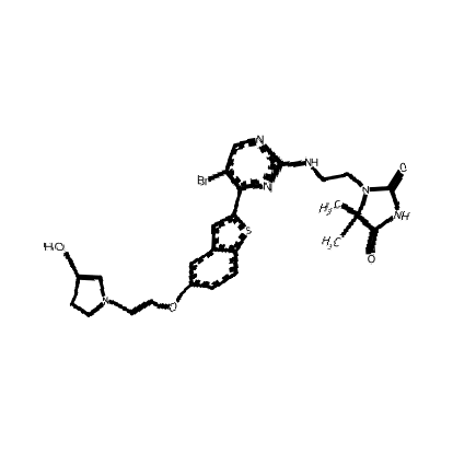 CC1(C)C(=O)NC(=O)N1CCNc1ncc(Br)c(-c2cc3cc(OCCN4CCC(O)C4)ccc3s2)n1